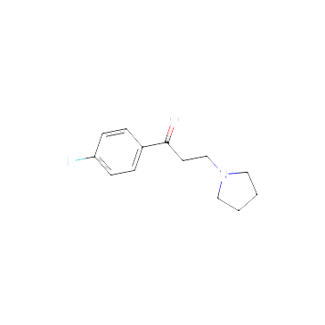 O=C(CCN1CCCC1)c1ccc(F)cc1